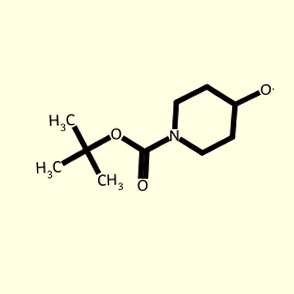 CC(C)(C)OC(=O)N1CCC([O])CC1